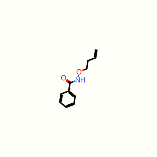 C=CCCONC(=O)c1ccccc1